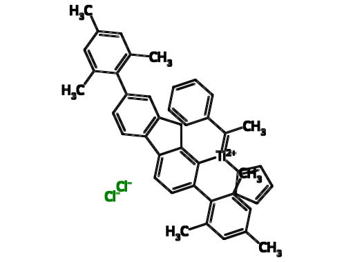 C/[C](c1ccccc1)=[Ti+2](\[C]1=CC=CC1)[c]1c(-c2c(C)cc(C)cc2C)ccc2c1Cc1cc(-c3c(C)cc(C)cc3C)ccc1-2.[Cl-].[Cl-]